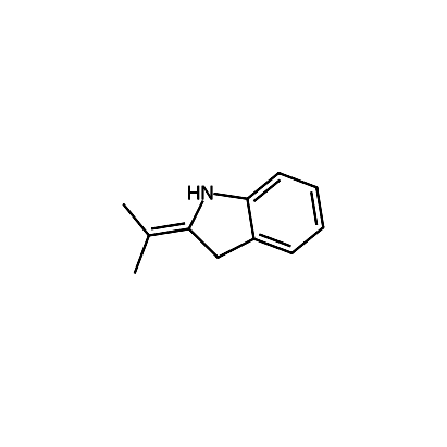 CC(C)=C1Cc2ccccc2N1